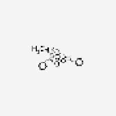 CCCCC(OC(=O)OC(CCCC)SCc1ccccc1)SCc1ccccc1